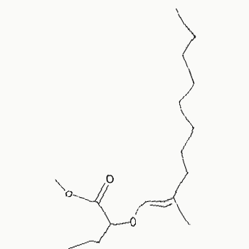 CCCCCCCCC(C)=COC(CC)C(=O)OC